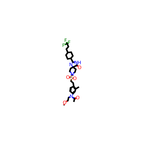 COCCN(C(C)=O)c1ccc(CCS(=O)(=O)N2CCC3(CC2)N=C(C2CCC(CCC(F)(F)F)CC2)NC3=O)c(C)c1